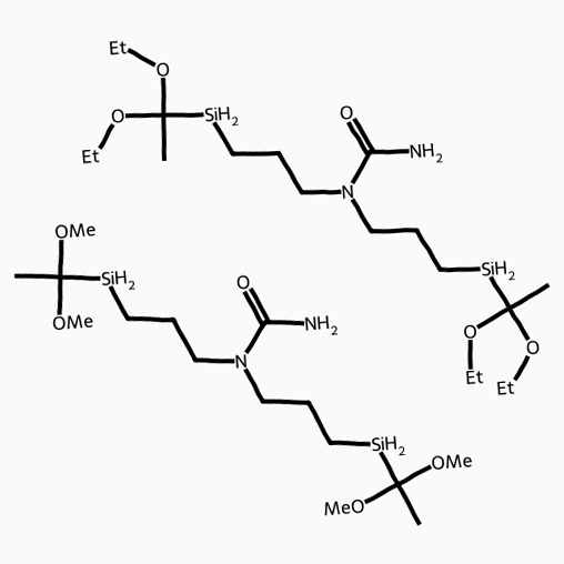 CCOC(C)(OCC)[SiH2]CCCN(CCC[SiH2]C(C)(OCC)OCC)C(N)=O.COC(C)(OC)[SiH2]CCCN(CCC[SiH2]C(C)(OC)OC)C(N)=O